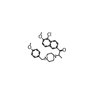 COc1ccc(CN2CCN(C(C)C(=O)c3ccc4c(Cl)c(OC)ccc4c3)CC2)cc1